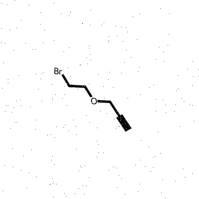 C#CCOCCBr